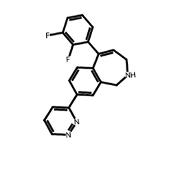 Fc1cccc(C2=CCNCc3cc(-c4cccnn4)ccc32)c1F